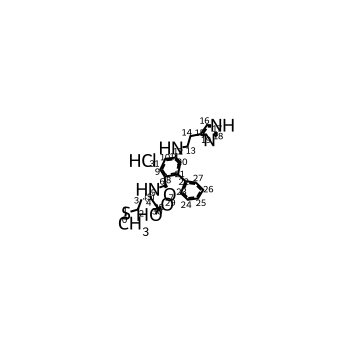 CSCC[C@H](NC(=O)c1ccc(NCCc2c[nH]cn2)cc1-c1ccccc1)C(=O)O.Cl